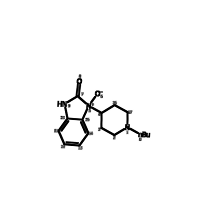 CCCCN1CCC([N+]2([O-])C(=O)Nc3ccccc32)CC1